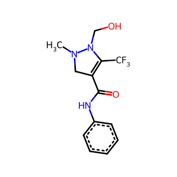 CN1CC(C(=O)Nc2ccccc2)=C(C(F)(F)F)N1CO